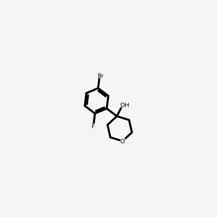 OC1(c2cc(Br)ccc2F)CCOCC1